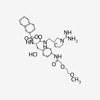 COCCOCC(=O)Nc1ccc(C[C@@H](NS(=O)(=O)c2ccc3ccccc3c2)C(=O)NCC2CCCN(C(=N)N)C2)cc1.Cl